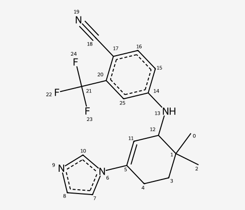 CC1(C)CCC(n2ccnc2)=CC1Nc1ccc(C#N)c(C(F)(F)F)c1